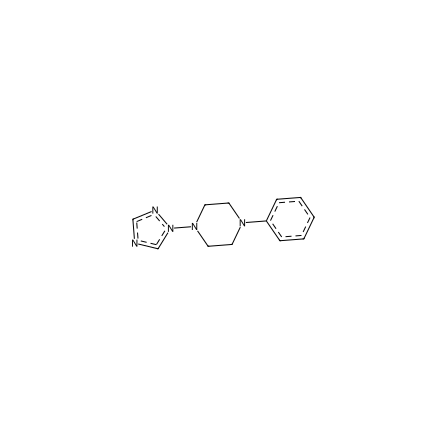 c1ccc(N2CCN(n3cncn3)CC2)cc1